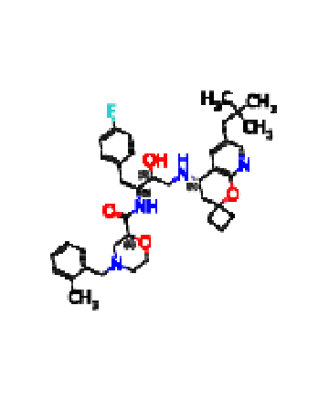 Cc1ccccc1CN1CCO[C@H](C(=O)N[C@@H](Cc2ccc(F)cc2)[C@@H](O)CN[C@H]2CC3(CCC3)Oc3ncc(CC(C)(C)C)cc32)C1